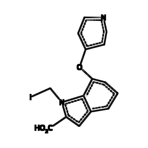 O=C(O)c1cc2cccc(Oc3ccncc3)c2n1CI